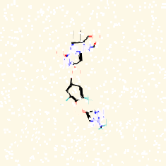 O=c1nc(OCc2cc(F)c(Oc3cnn(C(F)(F)F)c3)c(F)c2)cc2n1C[C@@H]1COCN21